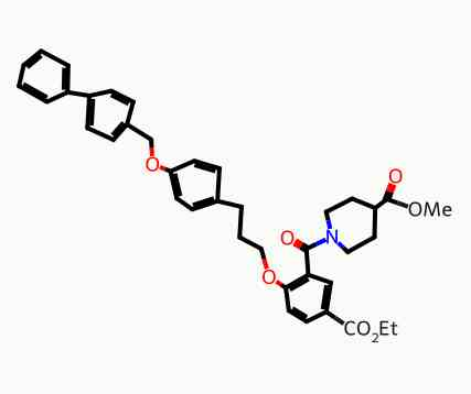 CCOC(=O)c1ccc(OCCCc2ccc(OCc3ccc(-c4ccccc4)cc3)cc2)c(C(=O)N2CCC(C(=O)OC)CC2)c1